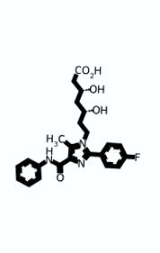 Cc1c(C(=O)Nc2ccccc2)nc(-c2ccc(F)cc2)n1CC[C@@H](O)C[C@@H](O)CC(=O)O